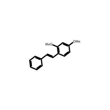 COc1ccc(C=Cc2ccccc2)c(OC)c1